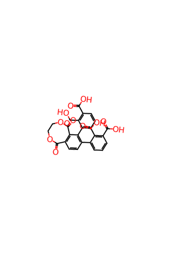 O=C(O)c1cccc(-c2ccc3c(c2-c2cccc(C(=O)O)c2C(=O)O)C(=O)OCCOC3=O)c1C(=O)O